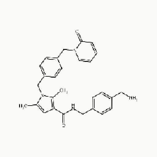 Cc1cc(C(=O)NCc2ccc(CN)cc2)c(C)n1Cc1ccc(Cn2ccccc2=O)cc1